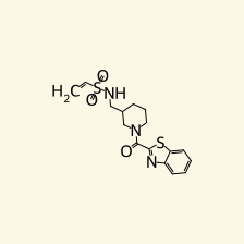 C=CS(=O)(=O)NCC1CCCN(C(=O)c2nc3ccccc3s2)C1